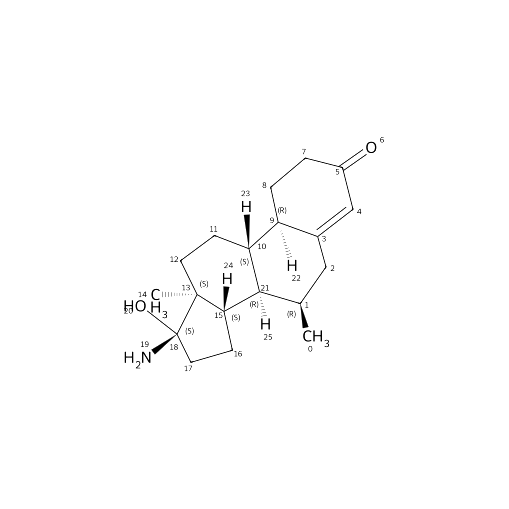 C[C@@H]1CC2=CC(=O)CC[C@@H]2[C@H]2CC[C@@]3(C)[C@@H](CC[C@]3(N)O)[C@@H]21